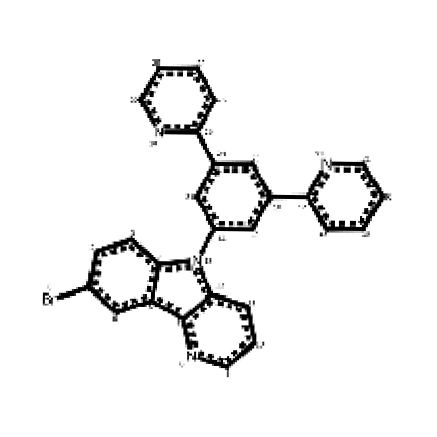 Brc1ccc2c(c1)c1ncccc1n2-c1cc(-c2ccccn2)cc(-c2ccccn2)c1